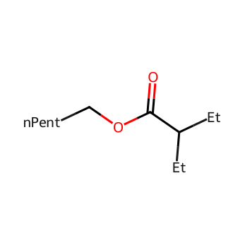 CCCCCCOC(=O)C(CC)CC